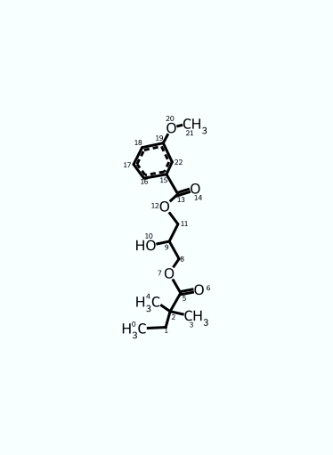 CCC(C)(C)C(=O)OCC(O)COC(=O)c1cccc(OC)c1